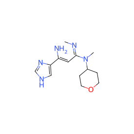 C/N=C(\C=C(/N)c1c[nH]cn1)N(C)C1CCOCC1